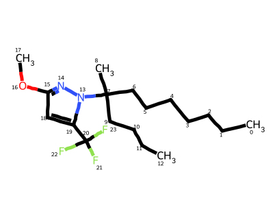 CCCCCCCC(C)(CCCC)n1nc(OC)cc1C(F)(F)F